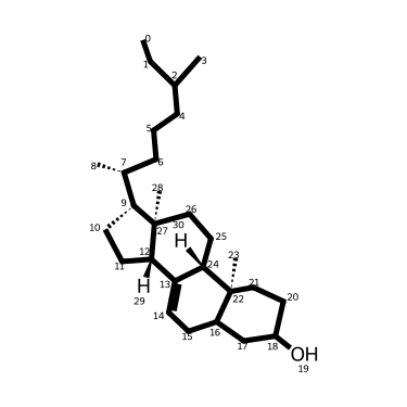 CCC(C)CCC[C@@H](C)[C@H]1CC[C@H]2C3=CCC4CC(O)CC[C@]4(C)[C@H]3CC[C@]12C